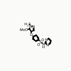 COC1C(Oc2ccc(S(=O)(=O)Nc3ncccn3)cc2)C=NN1C